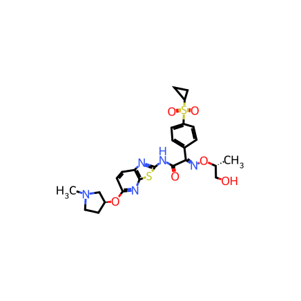 C[C@H](CO)O/N=C(/C(=O)Nc1nc2ccc(O[C@H]3CCN(C)C3)nc2s1)c1ccc(S(=O)(=O)C2CC2)cc1